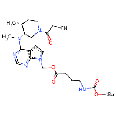 C[C@@H]1CCN(C(=O)CC#N)C[C@@H]1N(C)c1ncnc2c1ccn2COC(=O)CCCNC(=O)OC(C)(C)C